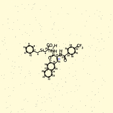 O=C(N[C@@H](CSCc1ccccc1)C(=O)O)/C(=C\c1ccc2ccccc2c1)NC(=O)c1ccc(C(F)(F)F)cc1